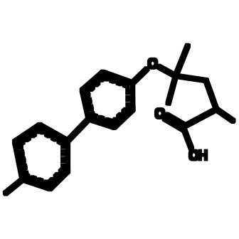 Cc1ccc(-c2ccc(OC(C)(C)CC(C)C(=O)O)cc2)cc1